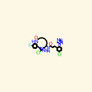 O=C(C=Cc1cc(Cl)ccc1-n1cnnn1)NC1CCCCCC(=O)Nc2cc(F)ccc2-c2nc1[nH]c2Cl